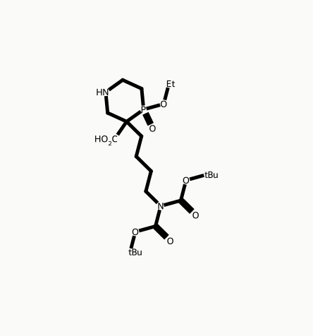 CCOP1(=O)CCNCC1(CCCCN(C(=O)OC(C)(C)C)C(=O)OC(C)(C)C)C(=O)O